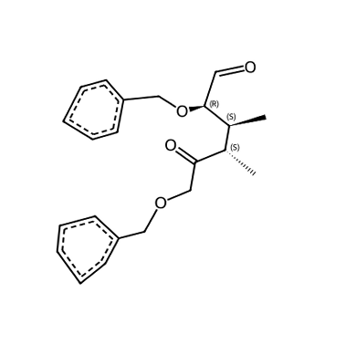 C[C@H]([C@H](C=O)OCc1ccccc1)[C@H](C)C(=O)COCc1ccccc1